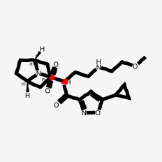 COCCNCCCS(=O)(=O)N1[C@@H]2CC[C@H]1C[C@@H](NC(=O)c1cc(C3CC3)on1)C2